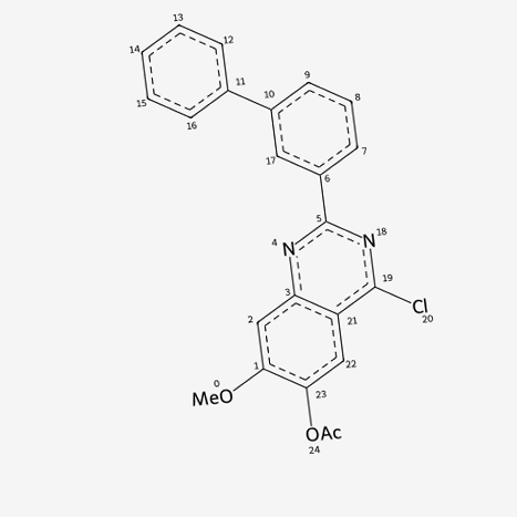 COc1cc2nc(-c3cccc(-c4ccccc4)c3)nc(Cl)c2cc1OC(C)=O